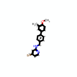 COc1ccc(C23CCC(CNc4cc(Br)ccn4)(CC2)CC3)cc1C